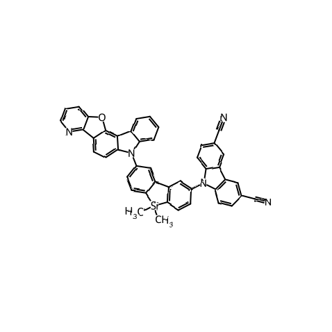 C[Si]1(C)c2ccc(-n3c4ccc(C#N)cc4c4cc(C#N)ccc43)cc2-c2cc(-n3c4ccccc4c4c5oc6cccnc6c5ccc43)ccc21